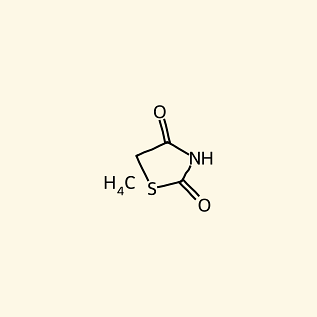 C.O=C1CSC(=O)N1